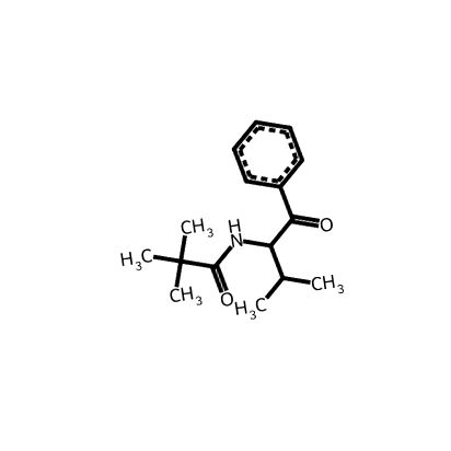 CC(C)C(NC(=O)C(C)(C)C)C(=O)c1ccccc1